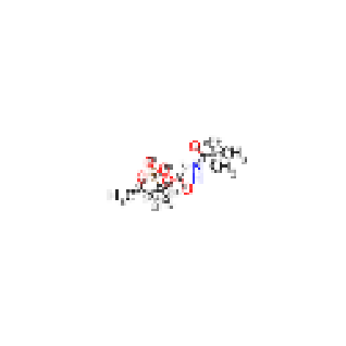 CCC(C)(C)C(=O)NCC(=O)OC1C2CC3C(C2)S(=O)(=O)OC31C